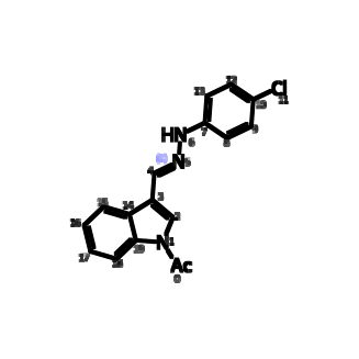 CC(=O)n1cc(/C=N/Nc2ccc(Cl)cc2)c2ccccc21